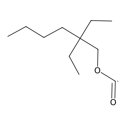 CCCCC(CC)(CC)CO[C]=O